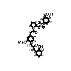 COc1cc(CC(=O)N2CCCC2CS(=O)(=O)c2cccc(C(=O)O)c2)ccc1NC(=O)Nc1ccccc1C